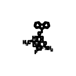 CC[C@H](C)[C@H](NC(=O)OCC1c2ccccc2-c2ccccc21)C(=O)N1C[C@H](F)C[C@H]1C(N)=O